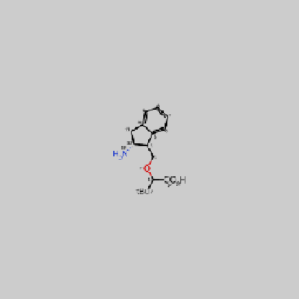 CC(C)(C)C(OC[C@@H]1c2ccccc2C[C@H]1N)C(=O)O